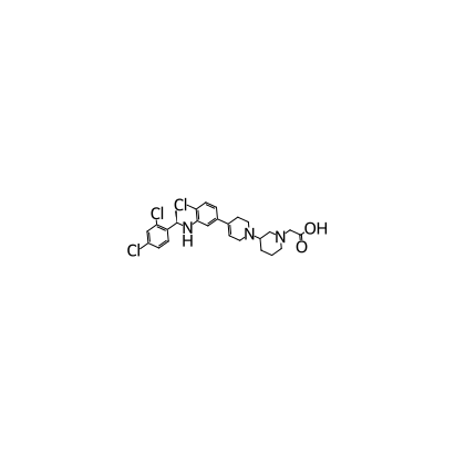 C[C@@H](Nc1cc(C2=CCN(C3CCCN(CC(=O)O)C3)CC2)ccc1Cl)c1ccc(Cl)cc1Cl